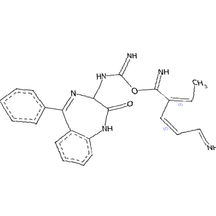 C/C=C(/C=C\C=N)C(=N)OC(=N)NC1N=C(c2ccccc2)c2ccccc2NC1=O